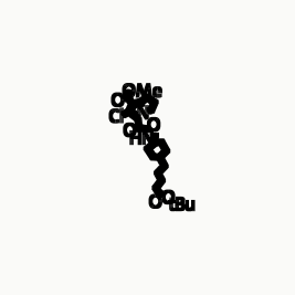 COC(=O)c1c(Cl)c(C(=O)C(=O)NC2(C)CCC(CCCCC(=O)OC(C)(C)C)CC2)n2c1CCC2